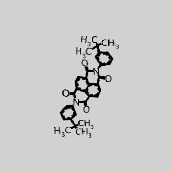 CC(C)(C)c1cccc(N2C(=O)c3ccc4c5c(ccc(c35)C2=O)C(=O)N(c2cccc(C(C)(C)C)c2)C4=O)c1